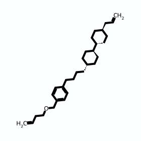 C=CCCOCc1ccc(CCCC[C@H]2CC[C@H]([C@H]3CC[C@H](CC=C)CC3)CC2)cc1